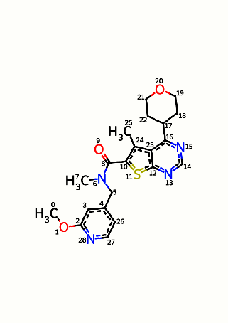 COc1cc(CN(C)C(=O)c2sc3ncnc(C4CCOCC4)c3c2C)ccn1